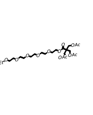 CCOCCOCCOCCOCCOCCOC(=O)C(COC(C)=O)(COC(C)=O)COC(C)=O